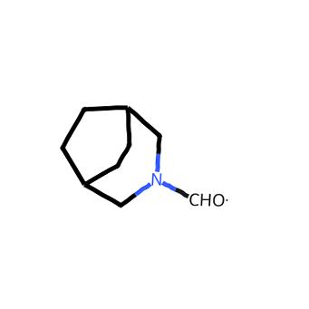 O=[C]N1CC2CCC(CC2)C1